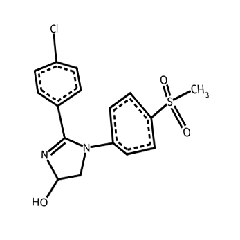 CS(=O)(=O)c1ccc(N2CC(O)N=C2c2ccc(Cl)cc2)cc1